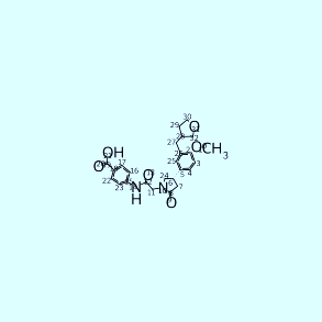 COc1ccc([C@@H]2CC(=O)N(CC(=O)Nc3ccc(C(=O)O)cc3)C2)cc1CC1CCOC1